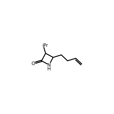 C=CCCC1NC(=O)C1C(C)C